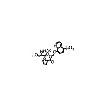 CC(=O)NC(CO)C(=O)N1CCCC1C(=O)OCOc1ccc([N+](=O)[O-])c2cccnc12